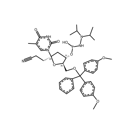 COc1ccc(C(OC[C@H]2O[C@@](CCC#N)(n3cc(C)c(=O)[nH]c3=O)C[C@@H]2OP(O)NN(C(C)C)C(C)C)(c2ccccc2)c2ccc(OC)cc2)cc1